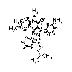 CC(C)CC=C(Cn1nc2c(c1-c1cccc(N)c1)c(=O)n(C)c(=O)n2CC(C)C)c1ccccc1